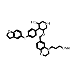 COCCCN1CCOc2ccc(COC3CNCC(O)C3c3ccc(Oc4ccc5c(c4)CCO5)cc3)cc21